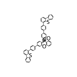 O=P12c3ccc(-c4ccc(-c5cccc6c5sc5ccccc56)cc4)cc3Oc3cccc(c31)Oc1cc(-c3ccc(-c4cccc5c4sc4ccccc45)cc3)ccc12